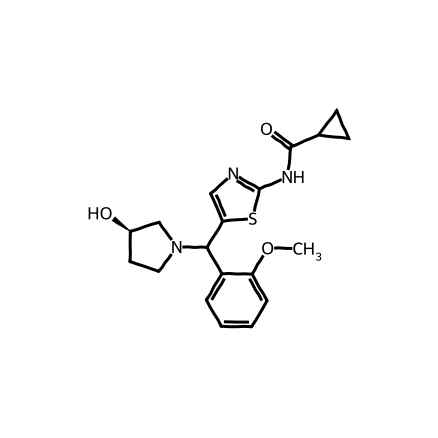 COc1ccccc1C(c1cnc(NC(=O)C2CC2)s1)N1CC[C@@H](O)C1